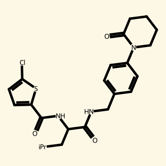 CC(C)CC(NC(=O)c1ccc(Cl)s1)C(=O)NCc1ccc(N2CCCCC2=O)cc1